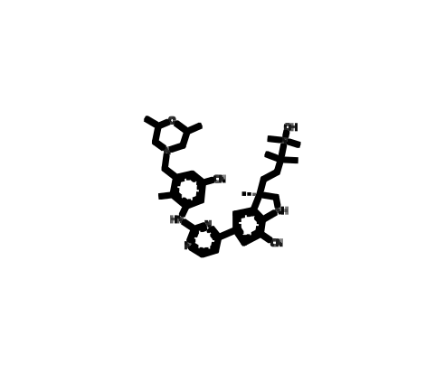 Cc1c(CN2CC(C)OC(C)C2)cc(C#N)cc1Nc1nccc(-c2cc(C#N)c3c(c2)[C@@](C)(CCC(C)(C)[Si](C)(C)O)CN3)n1